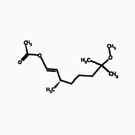 COC(C)(C)CCC[C@H](C)C=COC(C)=O